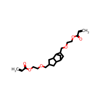 C=CC(=O)OCCOCC1CC2C3CC(COCCOC(=O)C=C)C(C3)C2C1